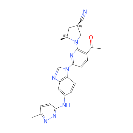 CC(=O)c1ccc(-n2cnc3cc(Nc4ccc(C)nn4)ccc32)nc1N1C[C@H](C#N)C[C@@H]1C